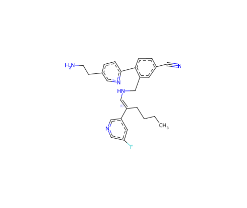 CCCC/C(=C\NCc1cc(C#N)ccc1-c1ccc(CCN)cn1)c1cncc(F)c1